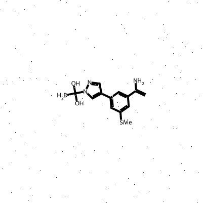 BC(O)(O)n1cc(-c2cc(SC)cc(C(=C)N)c2)cn1